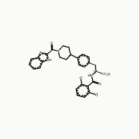 O=C(N[C@@H](Cc1ccc(C2CCN(C(=O)c3nc4ccccc4[nH]3)CC2)cc1)C(=O)O)c1c(Cl)cccc1Cl